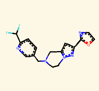 FC(F)c1ccc(CN2CCn3nc(-c4ncco4)cc3C2)cn1